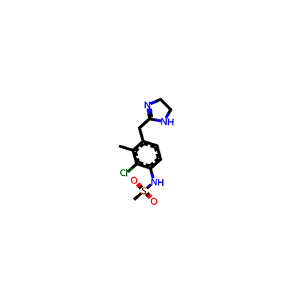 Cc1c(CC2=NCCN2)ccc(NS(C)(=O)=O)c1Cl